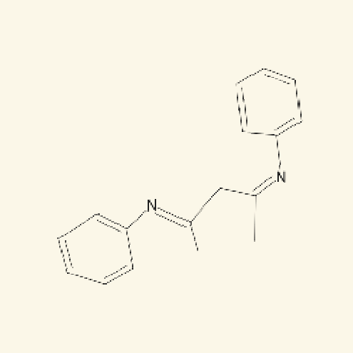 C/C(C/C(C)=N/c1ccccc1)=N/c1ccccc1